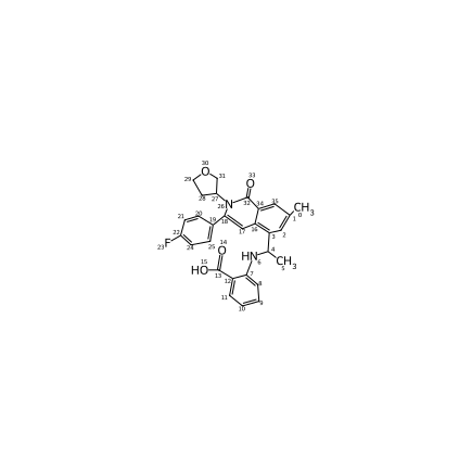 Cc1cc(C(C)Nc2ccccc2C(=O)O)c2cc(-c3ccc(F)cc3)n(C3CCOC3)c(=O)c2c1